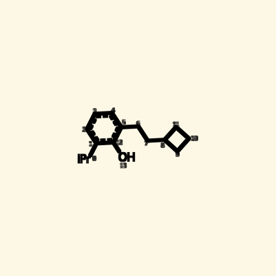 CC(C)c1cccc(CCC2CCC2)c1O